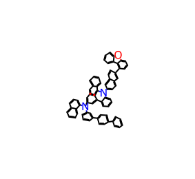 c1ccc(-c2ccc(-c3cccc(N(c4cccc(-c5ccccc5N(c5ccc6cc(-c7cccc8oc9ccccc9c78)ccc6c5)c5cccc6ccccc56)c4)c4cccc5ccccc45)c3)cc2)cc1